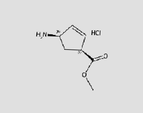 COC(=O)[C@@H]1C=C[C@H](N)C1.Cl